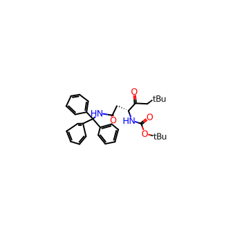 CC(C)(C)CC(=O)[C@@H](CC(=O)NC(c1ccccc1)(c1ccccc1)c1ccccc1)NC(=O)OC(C)(C)C